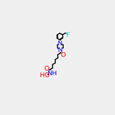 O=C(CCCCCCC(=O)N1CCN(C2=CC(CF)CC=C2)CC1)NO